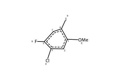 COc1cc(Cl)c(F)cc1I